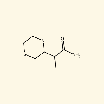 CC(C(N)=O)C1CSCC[N]1